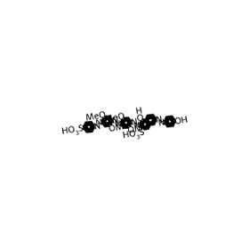 COc1cc(N=Nc2cc(OC)c(N=Nc3c(S(=O)(=O)O)cc4cc(N=Nc5ccc(O)cc5)ccc4c3O)cc2OC)c(OC)cc1N=Nc1ccc(S(=O)(=O)O)cc1